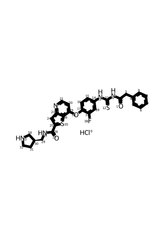 Cl.O=C(Cc1ccccc1)NC(=S)Nc1ccc(Oc2ccnc3cc(C(=O)NC[C@H]4CCNC4)sc23)c(F)c1